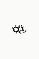 FC1=[C]Oc2ccccc2O1